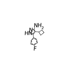 Nc1n[nH]c(-c2ccc(F)cc2)c1C1CCC1